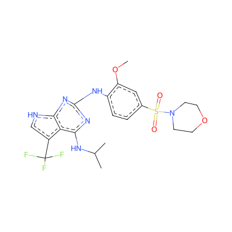 COc1cc(S(=O)(=O)N2CCOCC2)ccc1Nc1nc(NC(C)C)c2c(C(F)(F)F)c[nH]c2n1